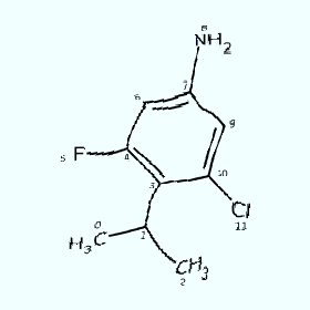 CC(C)c1c(F)cc(N)cc1Cl